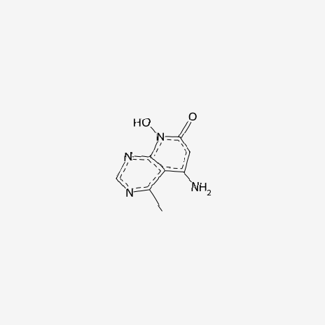 Cc1ncnc2c1c(N)cc(=O)n2O